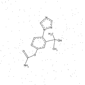 CC(C)(O)c1cc(OC(N)=O)ccc1-n1cncn1